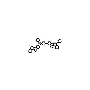 c1ccc(-c2cc3c4ccc(-c5ccc(N(c6ccccc6)c6ccc7oc8c9ccccc9ccc8c7c6)cc5)cc4oc3c3ccccc23)cc1